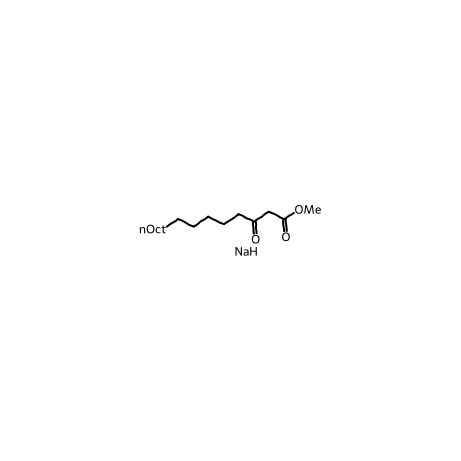 CCCCCCCCCCCCCC(=O)CC(=O)OC.[NaH]